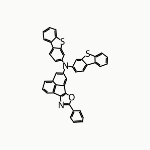 c1ccc(-c2nc3c(o2)-c2cc(N(c4ccc5c(c4)sc4ccccc45)c4ccc5c(c4)sc4ccccc45)cc4cccc-3c24)cc1